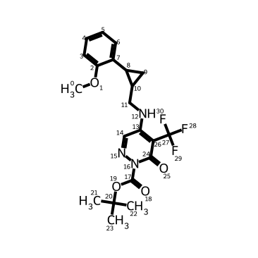 COc1ccccc1C1CC1CNc1cnn(C(=O)OC(C)(C)C)c(=O)c1C(F)(F)F